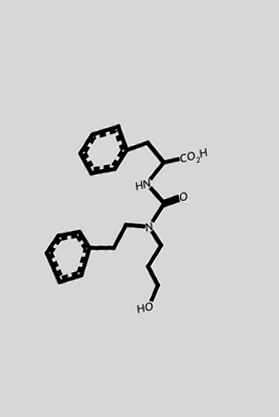 O=C(O)C(Cc1ccccc1)NC(=O)N(CCCO)CCc1ccccc1